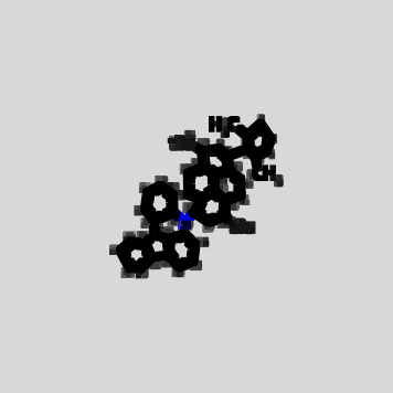 Cc1cccc(C)c1-c1cc(C(C)(C)C)c2ccc3c(N4c5ccccc5B5c6ccccc6-c6cccc4c65)cc(C(C)(C)C)c4ccc1c2c34